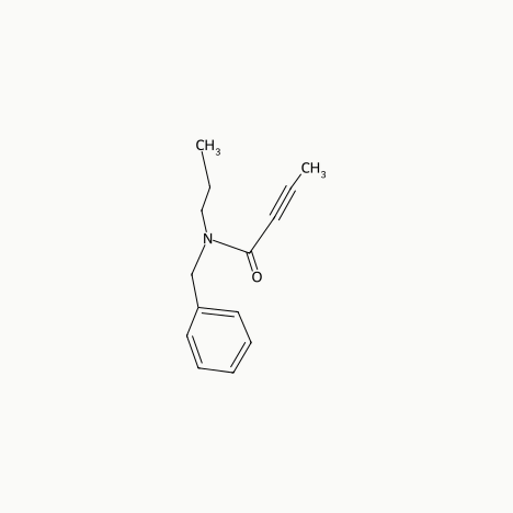 CC#CC(=O)N(CCC)Cc1ccccc1